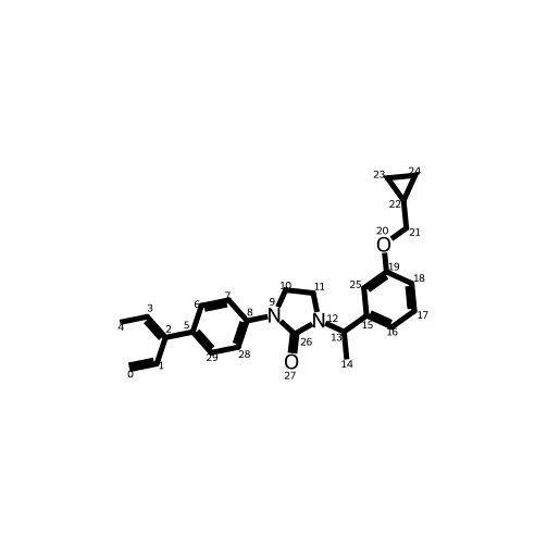 C=C/C(=C\C)c1ccc(N2CCN(C(C)c3cccc(OCC4CC4)c3)C2=O)cc1